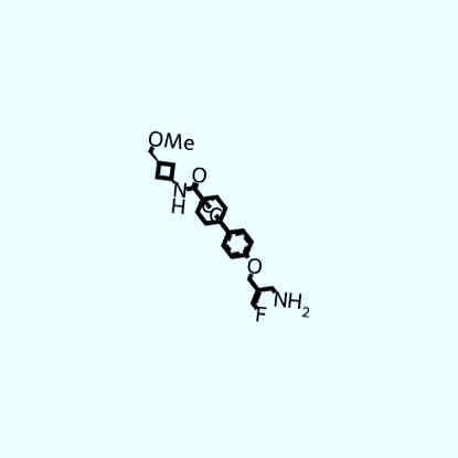 COC[C@H]1C[C@@H](NC(=O)C23CCC(c4ccc(OC/C(=C/F)CN)cc4)(CC2)CC3)C1